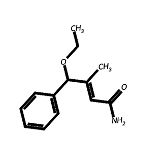 CCOC(C(C)=CC(N)=O)c1ccccc1